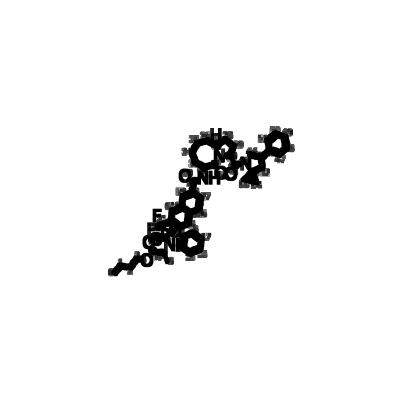 CCCCOC(=O)[C@H](C)NP(=O)(Oc1ccccc1)C(F)(F)c1ccc2ccc(C(=O)N[C@H]3CCCC[C@H]4CC[C@@H](C(=O)N5CC(c6ccccc6)CC56CC6)N4C3=O)cc2c1